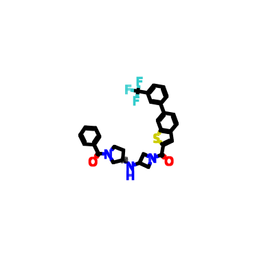 O=C(c1ccccc1)N1CC[C@H](NC2CN(C(=O)c3cc4ccc(-c5cccc(C(F)(F)F)c5)cc4s3)C2)C1